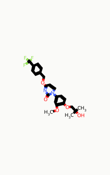 COc1cc(-n2ccc(OCc3ccc(C(F)(F)F)cc3)nc2=O)ccc1OCC(C)(C)O